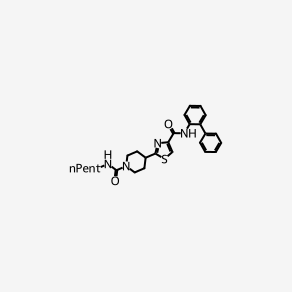 CCCCCNC(=O)N1CCC(c2nc(C(=O)Nc3ccccc3-c3ccccc3)cs2)CC1